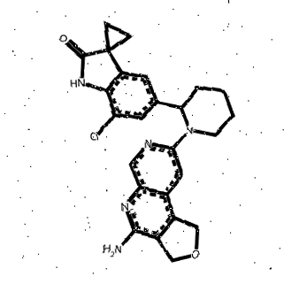 Nc1nc2cnc(N3CCCCC3c3cc(Cl)c4c(c3)C3(CC3)C(=O)N4)cc2c2c1COC2